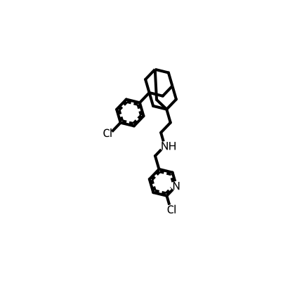 Clc1ccc(C23CC4CC(CC(CCNCc5ccc(Cl)nc5)(C4)C2)C3)cc1